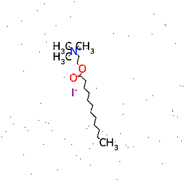 CCCCCCCCCCCC(=O)OCC[N+](C)(C)C.[I-]